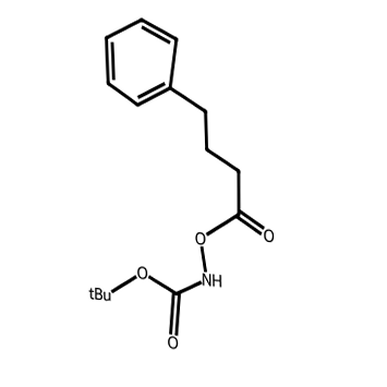 CC(C)(C)OC(=O)NOC(=O)CCCc1ccccc1